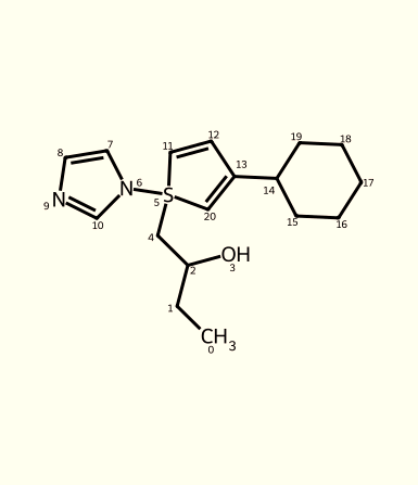 CCC(O)CS1(n2ccnc2)C=CC(C2CCCCC2)=C1